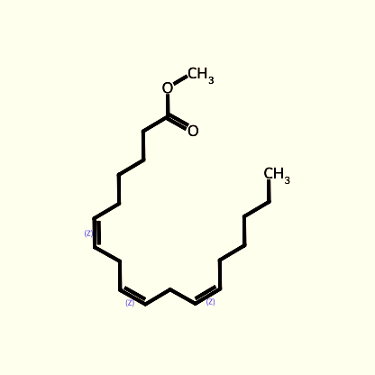 CCCCC/C=C\C/C=C\C/C=C\CCCCC(=O)OC